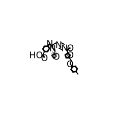 Cc1ccc(OCc2ccc(C(=O)N3CCN(Cc4nc5ccc(C(=O)O)cc5n4C[C@@H]4CCO4)CC3)o2)cc1